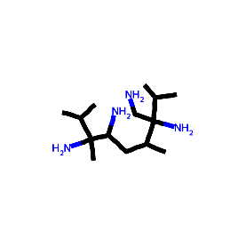 CC(C)C(C)(N)C(N)CC(C)C(N)(CN)C(C)C